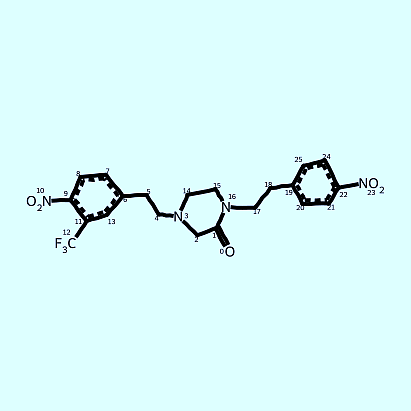 O=C1CN(CCc2ccc([N+](=O)[O-])c(C(F)(F)F)c2)CCN1CCc1ccc([N+](=O)[O-])cc1